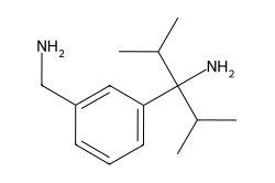 CC(C)C(N)(c1cccc(CN)c1)C(C)C